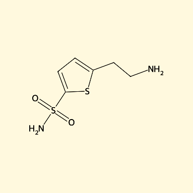 NCCc1ccc(S(N)(=O)=O)s1